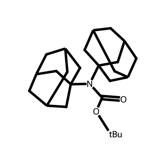 CC(C)(C)OC(=O)N(C12CC3CC(CC(C3)C1)C2)C12CC3CC(CC(C3)C1)C2